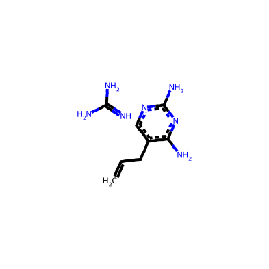 C=CCc1cnc(N)nc1N.N=C(N)N